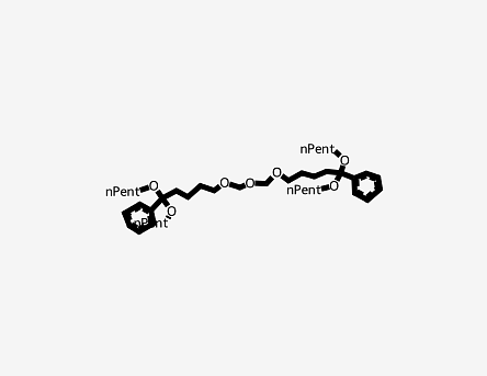 CCCCCOC(CCCCOCOCOCCCCC(OCCCCC)(OCCCCC)c1ccccc1)(OCCCCC)c1ccccc1